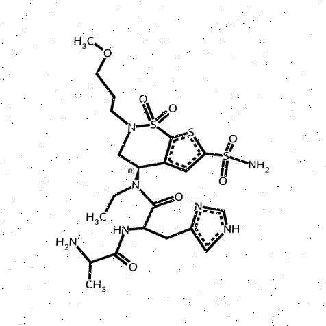 CCN(C(=O)C(Cc1c[nH]cn1)NC(=O)C(C)N)[C@H]1CN(CCCOC)S(=O)(=O)c2sc(S(N)(=O)=O)cc21